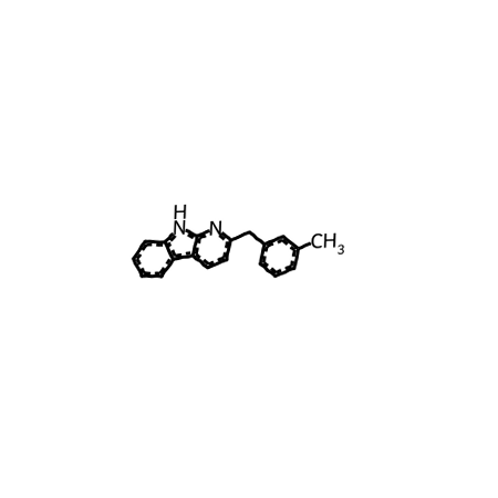 Cc1cccc(Cc2ccc3c(n2)[nH]c2ccccc23)c1